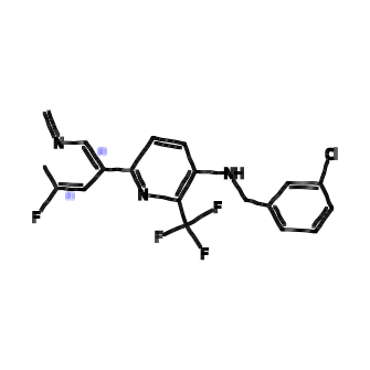 C=N/C=C(\C=C(/C)F)c1ccc(NCc2cccc(Cl)c2)c(C(F)(F)F)n1